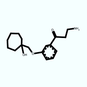 NCCC(=O)c1cccc(OCC2(O)CCCCCC2)c1